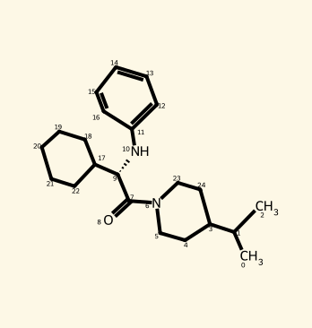 CC(C)C1CCN(C(=O)[C@@H](Nc2ccccc2)C2CCCCC2)CC1